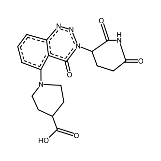 O=C1CCC(n2nnc3cccc(N4CCC(C(=O)O)CC4)c3c2=O)C(=O)N1